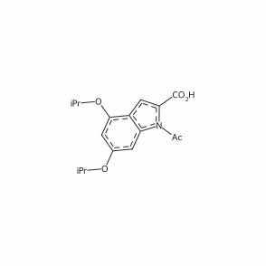 CC(=O)n1c(C(=O)O)cc2c(OC(C)C)cc(OC(C)C)cc21